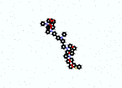 c1ccc(-c2ccc(-c3ccccc3N(c3ccc(-c4ccc5c6cc(-c7cccc(N8c9ccccc9C9(c%10ccccc%10-c%10ccc(N(c%11ccc(-c%12ccc%13sc%14ccccc%14c%13c%12)cc%11)c%11ccccc%11-c%11ccc(-c%12ccccc%12)cc%11)cc%109)c9ccccc98)c7)ccc6n(-c6ccccc6)c5c4)cc3)c3ccc4c(c3)C3(c5ccccc5-4)c4ccccc4N(c4ccccc4)c4ccccc43)cc2)cc1